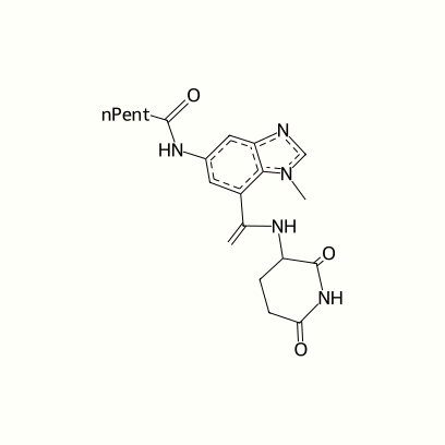 C=C(NC1CCC(=O)NC1=O)c1cc(NC(=O)CCCCC)cc2ncn(C)c12